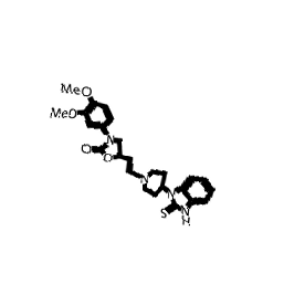 COc1ccc(N2CC(CCN3CCC(n4c(=S)[nH]c5ccccc54)CC3)OC2=O)cc1OC